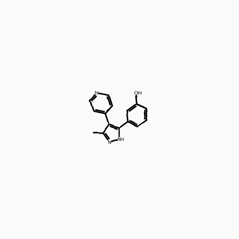 Cc1n[nH]c(-c2cccc(O)c2)c1-c1ccncc1